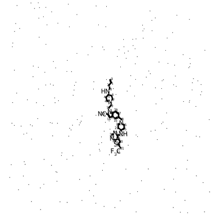 C=CCCNC1CCN(CCn2c(C#N)cc3cc(CN4CCC(Nc5ncnc6sc(CC(F)(F)F)cc56)CC4)ccc32)CC1